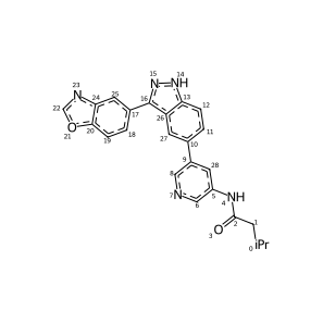 CC(C)CC(=O)Nc1cncc(-c2ccc3[nH]nc(-c4ccc5ocnc5c4)c3c2)c1